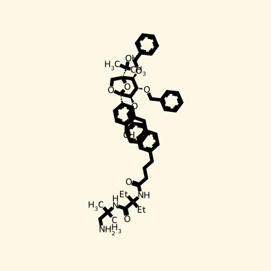 CCC(CC)(NC(=O)CCCc1ccc(Cc2cc([C@]34OC[C@](C(C)(C)O)(O3)[C@@H](OCc3ccccc3)[C@H](OCc3ccccc3)[C@H]4OCc3ccccc3)ccc2C)cc1)C(=O)NC(C)(C)CN